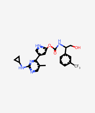 Cc1cnc(NC2CC2)nc1-c1c[nH]c(OC(=O)NC(CO)c2cccc(C(F)(F)F)c2)c1